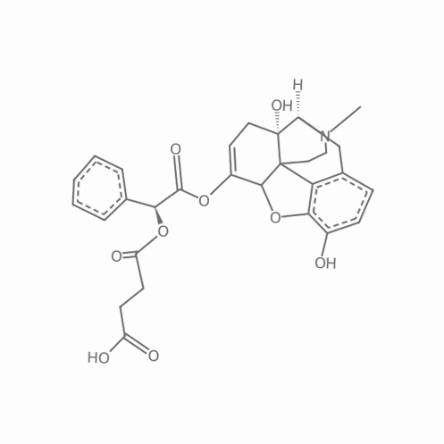 CN1CCC23c4c5ccc(O)c4OC2C(OC(=O)[C@@H](OC(=O)CCC(=O)O)c2ccccc2)=CC[C@@]3(O)[C@H]1C5